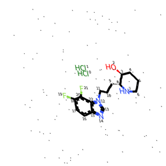 Cl.Cl.O[C@H]1CCCN[C@@H]1CCCn1cnc2ccc(F)c(F)c21